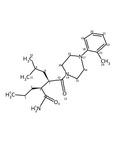 CCC[C@H](C(N)=O)[C@@H](CC(C)C)C(=O)N1CCN(c2ccccc2C)CC1